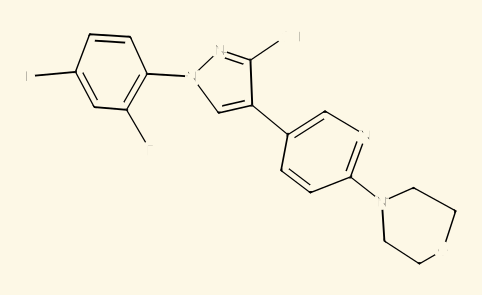 Cc1nn(-c2ccc(F)cc2F)cc1-c1ccc(N2CCOCC2)nc1